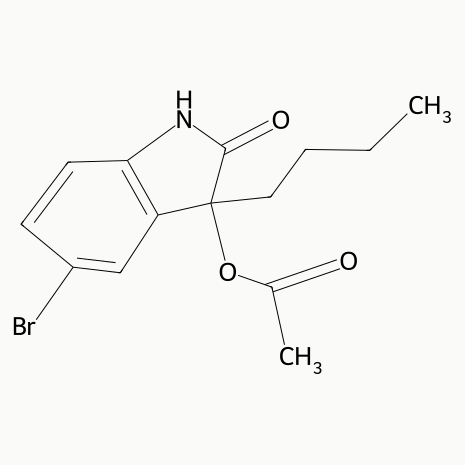 CCCCC1(OC(C)=O)C(=O)Nc2ccc(Br)cc21